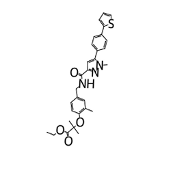 CCOC(=O)C(C)(C)Oc1ccc(CNC(=O)c2cc(-c3ccc(-c4cccs4)cc3)n(C)n2)cc1C